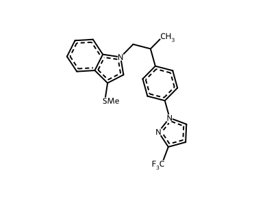 CSc1cn(CC(C)c2ccc(-n3ccc(C(F)(F)F)n3)cc2)c2ccccc12